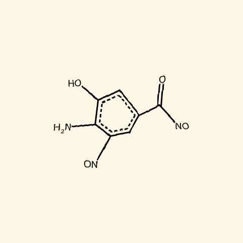 Nc1c(O)cc(C(=O)N=O)cc1N=O